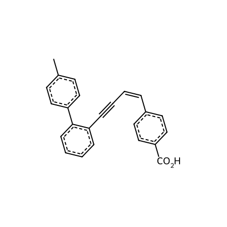 Cc1ccc(-c2ccccc2C#C/C=C\c2ccc(C(=O)O)cc2)cc1